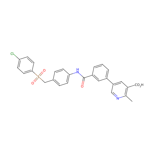 Cc1ncc(-c2cccc(C(=O)Nc3ccc(CS(=O)(=O)c4ccc(Cl)cc4)cc3)c2)cc1C(=O)O